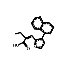 CCC(=Cc1sccc1-c1cccc2ccccc12)C(=O)O